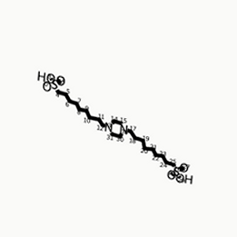 O=S(=O)(O)CCCCCCCCCN1CCN(CCCCCCCCCS(=O)(=O)O)CC1